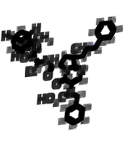 CC[C@H](NC(=O)[C@@H]1C[C@@](C)(C/C=C/c2ccccc2)c2ncc(N(Cc3ccccc3)C(=O)O)c(=O)n21)B1O[C@@H]2C[C@@H]3C[C@@H](C3(C)C)[C@]2(C)O1